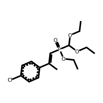 CCOC(OCC)P(=O)(C=C(C)c1ccc(Cl)cc1)OCC